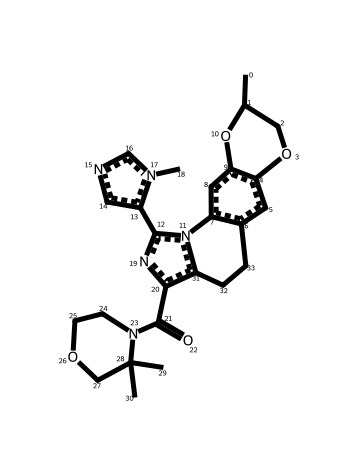 CC1COc2cc3c(cc2O1)-n1c(-c2cncn2C)nc(C(=O)N2CCOCC2(C)C)c1CC3